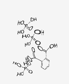 O=C(O)c1ccccc1C(=O)O.O=P(O)(O)O.O=P(O)(O)O.O=P(O)(O)O